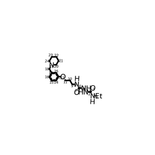 CCNC(=O)NNC(=O)NCCCOc1cccc(CN2CCCCC2)c1